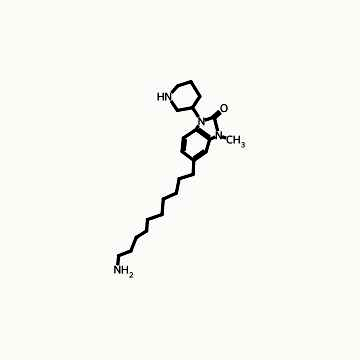 Cn1c(=O)n(C2CCCNC2)c2ccc(CCCCCCCCCCN)cc21